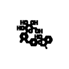 Cc1ccc([C@@H]2O[C@H](CO)[C@@H](O)[C@H](O)[C@H]2O)cc1Cc1ccc(OC[C@@H](C)c2ccccc2CO)cc1